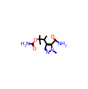 CC(c1cnn(C)c1C(N)=O)C(C)(C)OC(N)=O